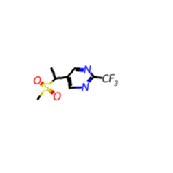 CC(c1cnc(C(F)(F)F)nc1)S(C)(=O)=O